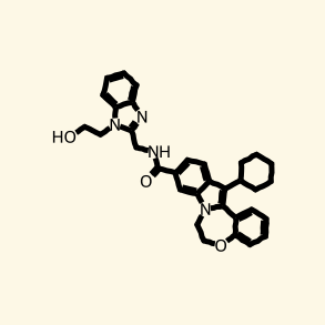 O=C(NCc1nc2ccccc2n1CCO)c1ccc2c(C3CCCCC3)c3n(c2c1)CCOc1ccccc1-3